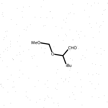 CCC(C)C(C=O)OCOC